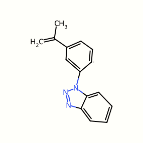 C=C(C)c1cc[c]c(-n2nnc3ccccc32)c1